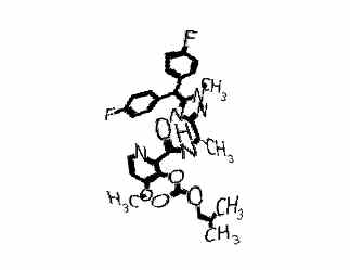 COc1ccnc(C(=O)N[C@@H](C)c2nc(C(c3ccc(F)cc3)c3ccc(F)cc3)n(C)n2)c1OC(=O)OCC(C)C